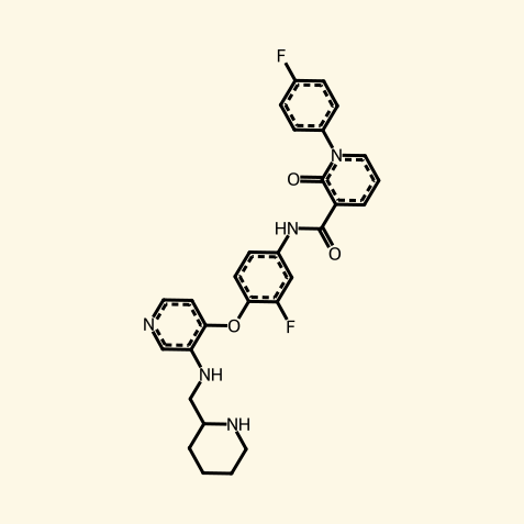 O=C(Nc1ccc(Oc2ccncc2NCC2CCCCN2)c(F)c1)c1cccn(-c2ccc(F)cc2)c1=O